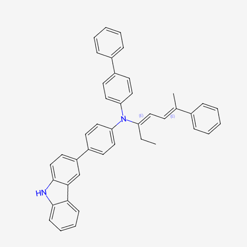 CC/C(=C\C=C(/C)c1ccccc1)N(c1ccc(-c2ccccc2)cc1)c1ccc(-c2ccc3[nH]c4ccccc4c3c2)cc1